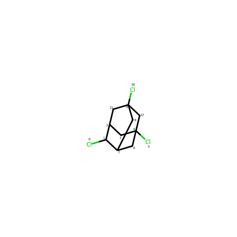 ClC1C2CC3(Cl)CC1CC(Cl)(C2)C3